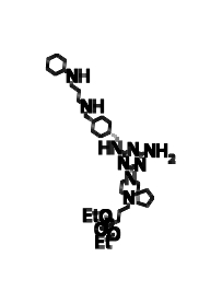 CCOP(=O)(CCCN1CCN(c2nc(N)nc(NC[C@H]3CC[C@H](CNCCCNC4CCCCC4)CC3)n2)CC12CCCC2)OCC